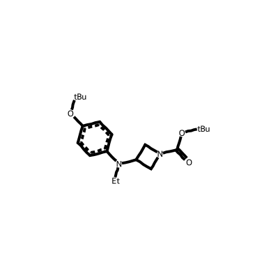 CCN(c1ccc(OC(C)(C)C)cc1)C1CN(C(=O)OC(C)(C)C)C1